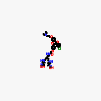 CCN(CC)CCCOc1ccc(-c2oc3ccc(Cl)cc3c2C(=O)c2ccc(OCC(=O)NCCC(CCNC(C)(C)/C(C)=N/O)CCNC(C)(C)/C(C)=N/O)cc2)cc1